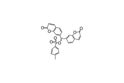 Cc1ccc(S(=O)(=O)O[I+](c2ccc3ccc(=O)oc3c2)c2ccc3ccc(=O)oc3c2)cc1